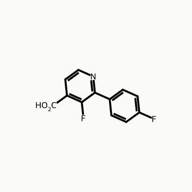 O=C(O)c1ccnc(-c2ccc(F)cc2)c1F